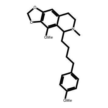 COc1ccc(CCCCC2c3c(cc4c(c3OC)OCO4)CCN2C)cc1